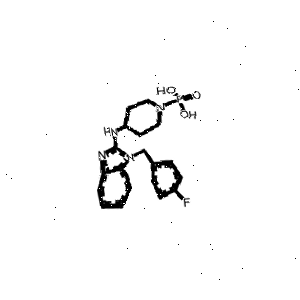 O=P(O)(O)N1CCC(Nc2nc3ccccc3n2Cc2ccc(F)cc2)CC1